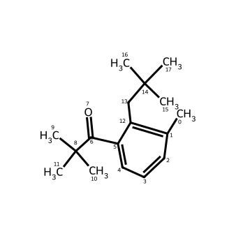 Cc1cccc(C(=O)C(C)(C)C)c1CC(C)(C)C